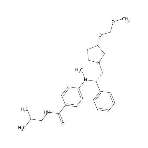 COCO[C@H]1CCN(C[C@H](c2ccccc2)N(C)c2ccc(C(=O)NCC(C)C)cc2)C1